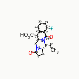 O=C(O)c1c(CN2CCCC2=O)n(CCC(F)(F)F)c(=O)c2c(F)cccc12